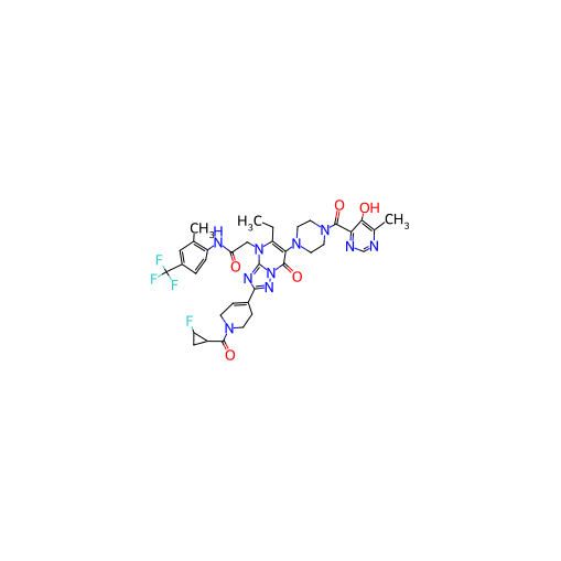 CCc1c(N2CCN(C(=O)c3ncnc(C)c3O)CC2)c(=O)n2nc(C3=CCN(C(=O)C4CC4F)CC3)nc2n1CC(=O)Nc1ccc(C(F)(F)F)cc1C